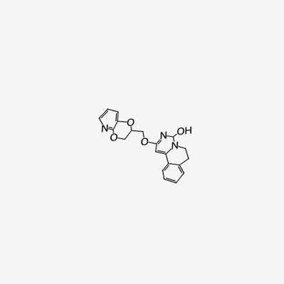 OC1N=C(OCC2COc3ncccc3O2)C=C2c3ccccc3CCN21